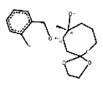 C[C@@]1(O)CCCCC2(C[C@@H]1OCc1ccccc1F)OCCO2